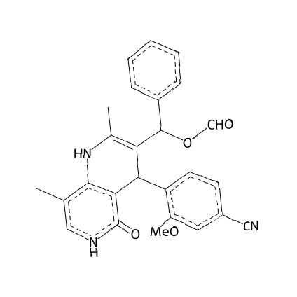 COc1cc(C#N)ccc1C1C(C(OC=O)c2ccccc2)=C(C)Nc2c(C)c[nH]c(=O)c21